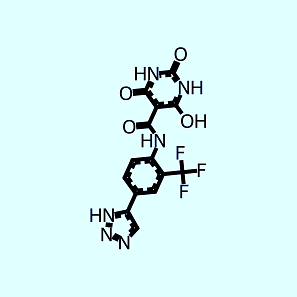 O=C(Nc1ccc(-c2cnn[nH]2)cc1C(F)(F)F)c1c(O)[nH]c(=O)[nH]c1=O